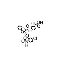 O=C(O)Nc1cccc(C(=O)N[C@@H](Cc2ccccc2)C(=O)N2CCC3(C2)OC(=O)Nc2ccc(Cl)cc23)c1